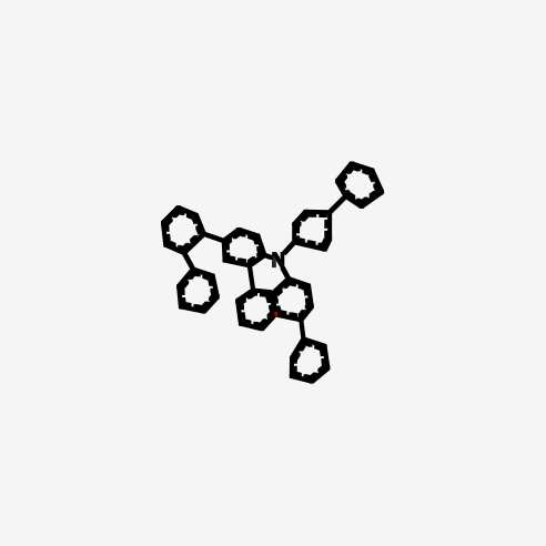 c1ccc(-c2ccc(N(c3ccc(-c4ccccc4)cc3)c3ccc(-c4ccccc4-c4ccccc4)cc3-c3ccccc3)cc2)cc1